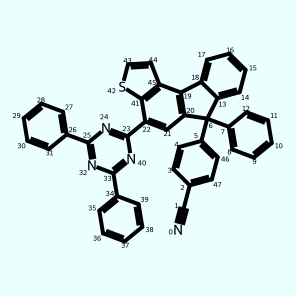 N#Cc1ccc(C2(c3ccccc3)c3ccccc3-c3c2cc(-c2nc(-c4ccccc4)nc(-c4ccccc4)n2)c2sccc32)cc1